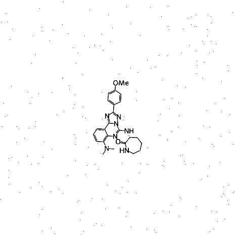 COc1ccc(-c2nc3c4cccc(N(C)C)c4nc(N[C@@H]4CCCCNC4=O)n3n2)cc1